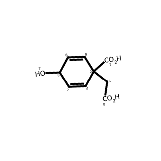 O=C(O)CC1(C(=O)O)C=CC(O)C=C1